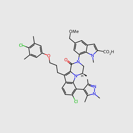 COCc1cc(N2C[C@@H](C)n3c(c(CCCOc4cc(C)c(Cl)c(C)c4)c4ccc(Cl)c(-c5c(C)nn(C)c5C)c43)C2=O)c2c(c1)cc(C(=O)O)n2C